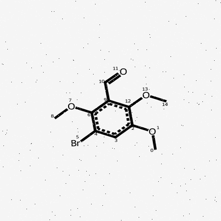 COc1cc(Br)c(OC)c([C]=O)c1OC